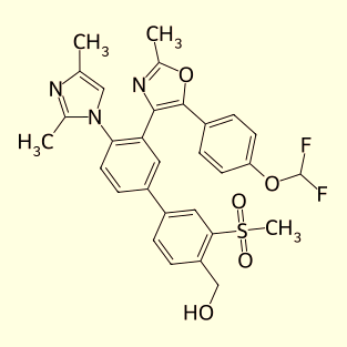 Cc1cn(-c2ccc(-c3ccc(CO)c(S(C)(=O)=O)c3)cc2-c2nc(C)oc2-c2ccc(OC(F)F)cc2)c(C)n1